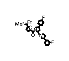 CCC(NC)c1ccc(C(=O)N2CC(c3ccc(F)cc3)CC2CN2CCC(c3cccc(F)c3)C2)o1